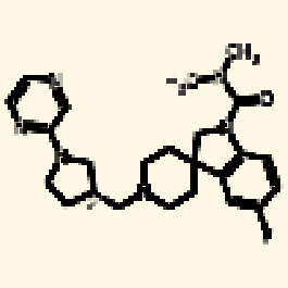 CN(C)C(=O)N1CC2(CCN(C[C@H]3CCN(c4cnccn4)C3)CC2)c2cc(F)ccc21